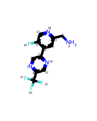 NCc1cc(-c2cnc(C(F)(F)F)cn2)c(F)cn1